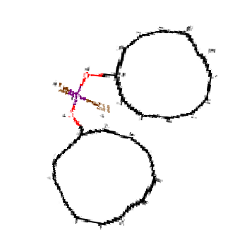 S=P(S)(OC1CCCCCCCCCCC1)OC1CCCCCCCCCCC1